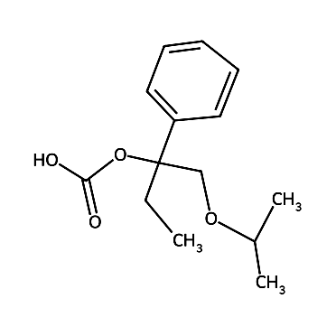 CCC(COC(C)C)(OC(=O)O)c1ccccc1